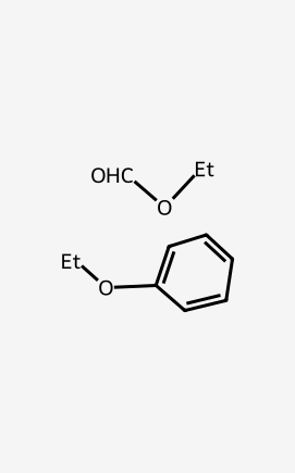 CCOC=O.CCOc1ccccc1